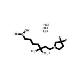 Cl.Cl.NC(CCCCB(O)O)(CCN1CCC(F)(F)C1)C(=O)O.O